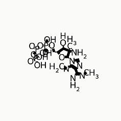 C=Nc1c(/C(N)=N\C)ncn1[C@@H]1O[C@H](COP(=O)(O)OP(=O)(O)OP(=O)(O)O)[C@@H](O)[C@@]1(C)N